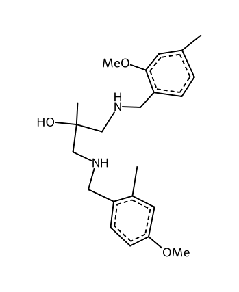 COc1ccc(CNCC(C)(O)CNCc2ccc(C)cc2OC)c(C)c1